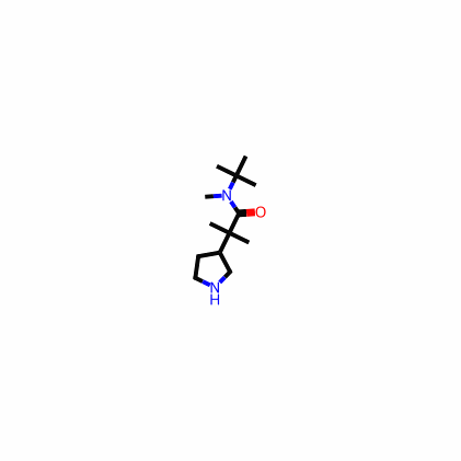 CN(C(=O)C(C)(C)C1CCNC1)C(C)(C)C